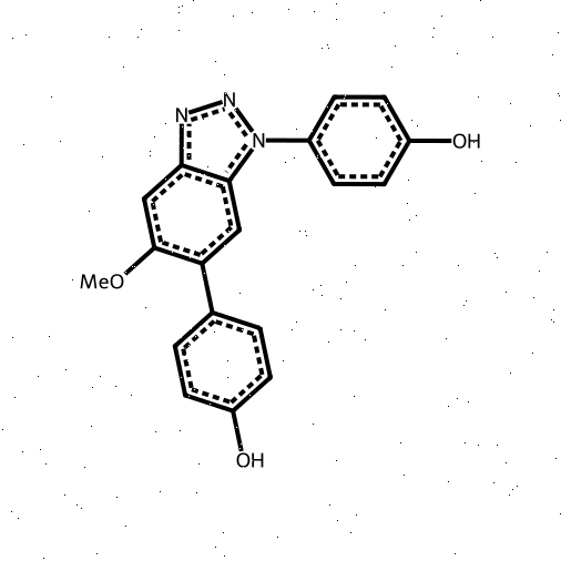 COc1cc2nnn(-c3ccc(O)cc3)c2cc1-c1ccc(O)cc1